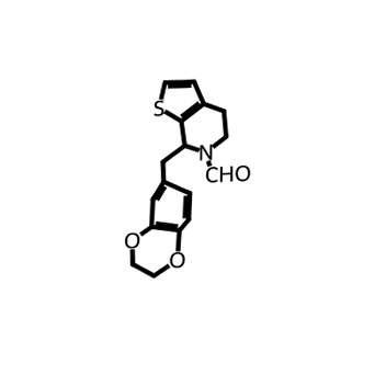 O=CN1CCc2ccsc2C1Cc1ccc2c(c1)OCCO2